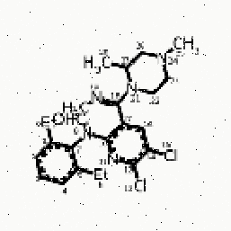 CCc1cccc(CC)c1N(C=O)c1nc(Cl)c(Cl)cc1/C(=N\C)N1CCN(C)CC1C